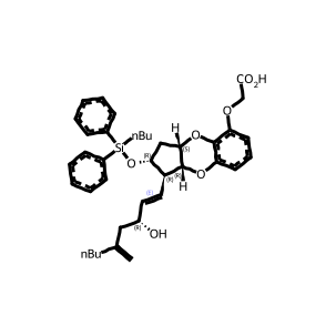 C=C(CCCC)C[C@@H](O)/C=C/[C@@H]1[C@H]2Oc3cccc(OCC(=O)O)c3O[C@H]2C[C@H]1O[Si](CCCC)(c1ccccc1)c1ccccc1